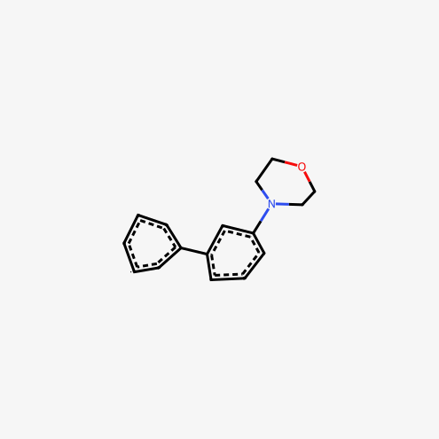 [c]1cccc(-c2cccc(N3CCOCC3)c2)c1